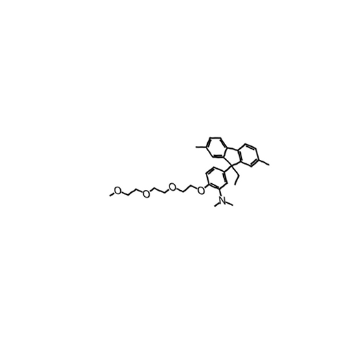 CCC1(c2ccc(OCCOCCOCCOC)c(N(C)C)c2)c2cc(C)ccc2-c2ccc(C)cc21